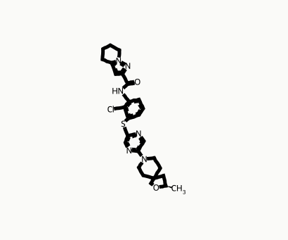 C[C@H]1CC2(CCN(c3cnc(Sc4cccc(NC(=O)c5cc6n(n5)CCCC6)c4Cl)cn3)CC2)CO1